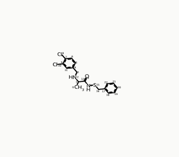 CC(NCc1ccc(Cl)c(Cl)c1)C(=O)NSCc1ccccc1